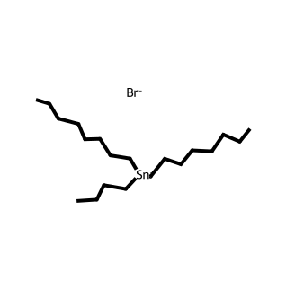 CCCCCCC[CH2][Sn+]([CH2]CCC)[CH2]CCCCCCC.[Br-]